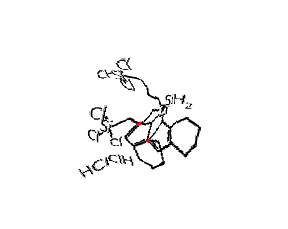 Cl.Cl.[SiH2]=[Zr]([CH2]CC[Si](Cl)(Cl)Cl)([CH2]CC[Si](Cl)(Cl)Cl)([CH]1C=CC2=C1CCCC2)[CH]1C=CC2=C1CCCC2